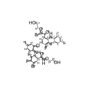 Cc1cc(I)ccc1Nc1c(C(=O)N(Br)OCCO)ccc(F)c1F.O=C(NOCCO)c1cc(Br)c(F)c(F)c1Nc1ccc(I)cc1Cl